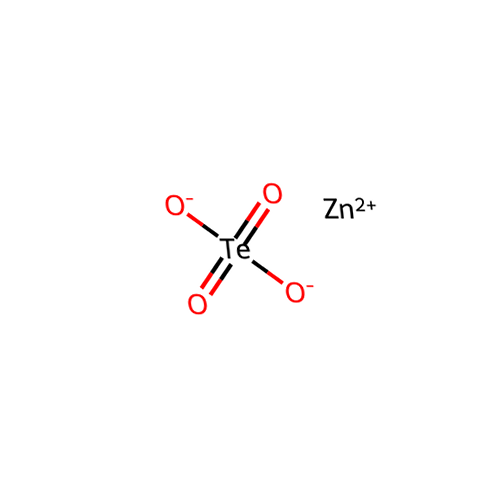 O=[Te](=O)([O-])[O-].[Zn+2]